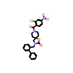 O=C1OC2(CCN(C(=O)c3ccc([N+](=O)[O-])cc3Cl)CC2)CN1Cc1ccccc1-c1ccccc1